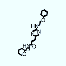 O=C(C=Cc1cnc(NCCOc2ccccc2)cn1)NOC1CCCCO1